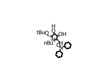 CCCCN1[C@H](CO[SiH](c2ccccc2)c2ccccc2)[C@@H](O)[C@H](O)[C@H]1COC(C)(C)C